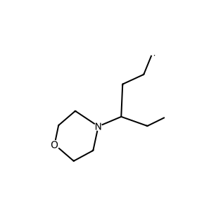 [CH2]CCC(CC)N1CCOCC1